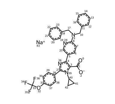 O=C([O-])c1c(-c2ccc(N(Cc3ccccc3)Cc3ccccc3)nc2)nc(-c2ccc(OC(F)(F)F)cc2)n1C1CC1.[Na+]